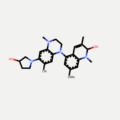 COc1cc(N2CCN(C)c3cc(N4CCC(O)C4)c(C#N)cc32)c2c(c1)N(C)C(O)C(C)=C2